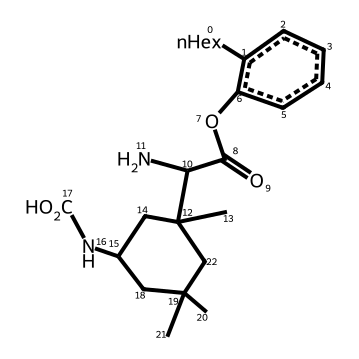 CCCCCCc1ccccc1OC(=O)C(N)C1(C)CC(NC(=O)O)CC(C)(C)C1